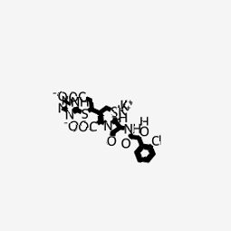 O=C([O-])CC(Sc1nnn[nH]1)C1=C(C(=O)[O-])N2C(=O)C(NC(=O)C(O)c3ccccc3Cl)[C@@H]2SC1.[K+].[K+]